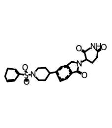 O=C1CCC(N2Cc3cc(C4CCN(S(=O)(=O)C5=CCCC=C5)CC4)ccc3C2=O)C(=O)N1